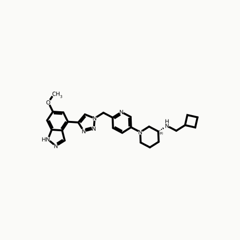 COc1cc(-c2cn(Cc3ccc(N4CCC[C@@H](NCC5CCC5)C4)cn3)nn2)c2cn[nH]c2c1